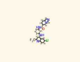 O=C(N[C@@H]1CCC[C@H](Nc2cc(C(F)(F)F)nc3ccc(Cl)cc23)C1)c1ccc2cncn2c1